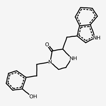 O=C1C(Cc2c[nH]c3ccccc23)NCCN1CCc1ccccc1O